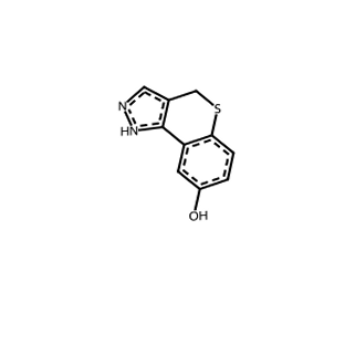 Oc1ccc2c(c1)-c1[nH]ncc1CS2